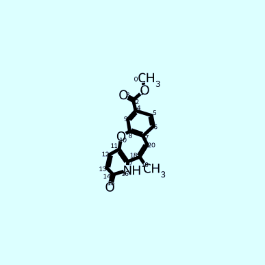 COC(=O)c1ccc2c(c1)Oc1ccc(=O)[nH]c1C(C)=C2